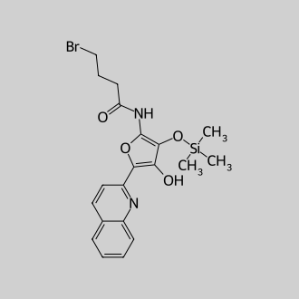 C[Si](C)(C)Oc1c(NC(=O)CCCBr)oc(-c2ccc3ccccc3n2)c1O